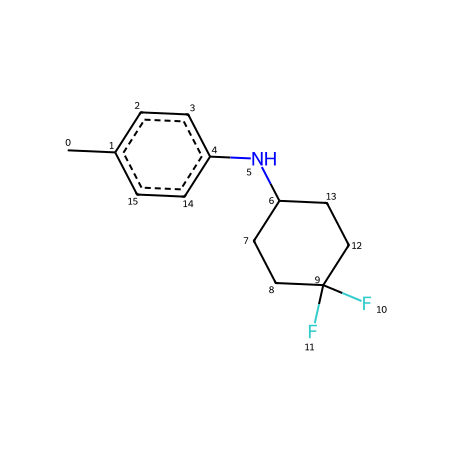 Cc1ccc(NC2CCC(F)(F)CC2)cc1